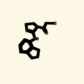 O=C(CCl)N1CCN=C1Nc1cccc2c1CCC2